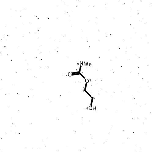 CNC(=O)OCCO